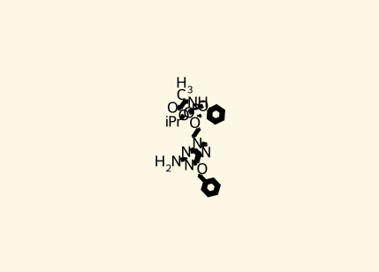 CC(C)OC(=O)[C@H](C)NP(=O)(COCCn1cnc2c(OCc3ccccc3)nc(N)nc21)Oc1ccccc1